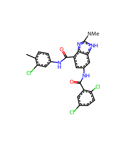 CNc1nc2c(C(=O)Nc3ccc(C)c(Cl)c3)cc(NC(=O)c3cc(Cl)ccc3Cl)cc2[nH]1